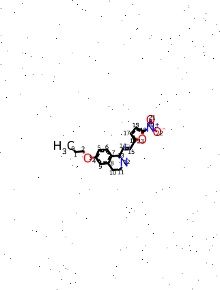 CCCOc1ccc2c(c1)CCN=C2/C=C/c1ccc([N+](=O)[O-])o1